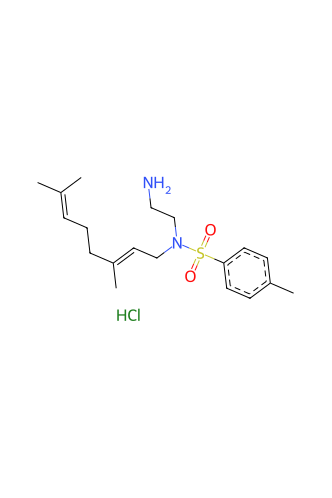 CC(C)=CCC/C(C)=C/CN(CCN)S(=O)(=O)c1ccc(C)cc1.Cl